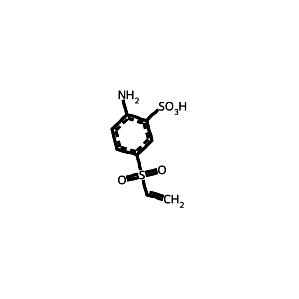 C=CS(=O)(=O)c1ccc(N)c(S(=O)(=O)O)c1